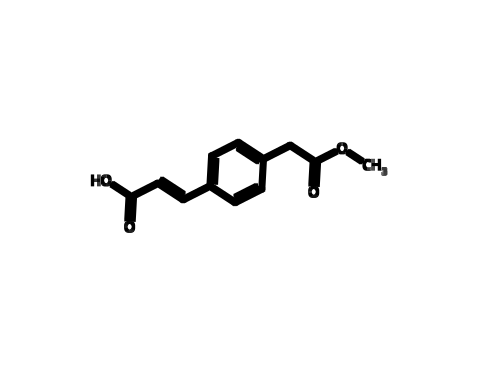 COC(=O)Cc1ccc(C=CC(=O)O)cc1